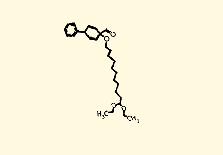 CCOC(CCCCCCCCCCOC1([C]=O)C=CC(c2ccccc2)C=C1)OCC